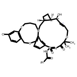 CC(C)C(=O)NS1(=O)=NC(=O)C(C)(C)OC/C=C/[C@H](O)[C@@H]2CC[C@H]2CN2CCCCc3cc(Cl)ccc3COc3ccc1cc32